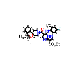 CCOC(=O)c1cnn2c(Nc3ccc(F)cc3C)c(C(=O)N3CCC4(CC3)OC(C)(C)c3ccccc34)cnc12